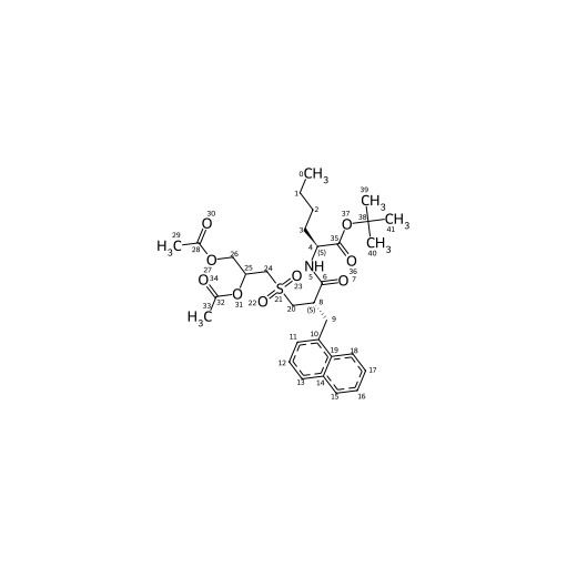 CCCC[C@H](NC(=O)[C@H](Cc1cccc2ccccc12)CS(=O)(=O)CC(COC(C)=O)OC(C)=O)C(=O)OC(C)(C)C